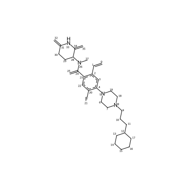 C=Cc1cc(N2CCN(CCCC3CCCCC3)CC2)c(F)cc1C(=C)N(C)C1CCC(=C)NC1=C